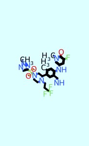 Cc1cc(Nc2cc(F)c(=O)n(C)c2)c(C=N)cc1C1CN(S(=O)(=O)c2cnn(C)n2)CCN1CCC(F)(F)F